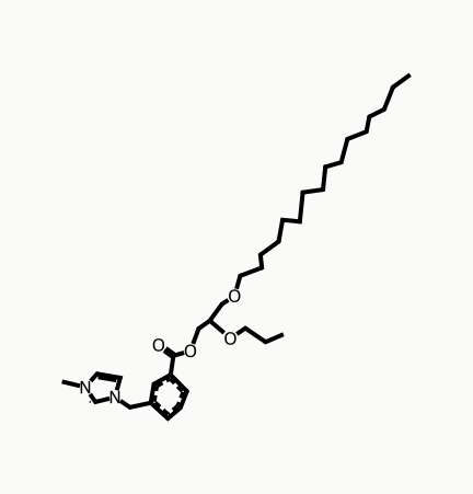 CCCCCCCCCCCCCCCCOCC(COC(=O)c1cccc(CN2[CH]N(C)C=C2)c1)OCCC